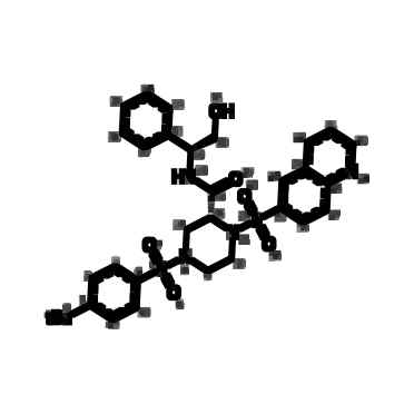 CC(C)(C)c1ccc(S(=O)(=O)N2CCN(S(=O)(=O)c3ccc4ncccc4c3)[C@@H](C(=O)N[C@H](CO)c3ccccc3)C2)cc1